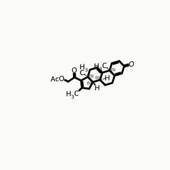 CC(=O)OCC(=O)C1=C(C)C[C@H]2[C@@H]3CCC4=CC(=O)C=C[C@]4(C)C3=CC[C@]12C